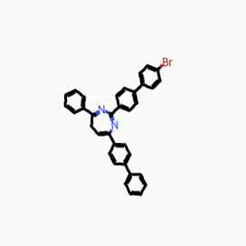 Brc1ccc(-c2ccc(C3=NC(c4ccc(-c5ccccc5)cc4)=CCC(c4ccccc4)=N3)cc2)cc1